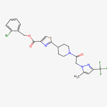 Cc1cc(C(F)(F)F)nn1CC(=O)N1CCC(c2nc(C(=O)OCc3ccccc3Br)cs2)CC1